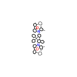 Cc1cc(C)cc(N(c2ccc3c(c2)C(c2ccccc2)(c2ccccc2)c2cc(N(c4cc(C)cc(C)c4)c4cccc5c4oc4c(C6CCCCC6)cccc45)c4ccccc4c2-3)c2cccc3c2oc2c(C4CCCCC4)cccc23)c1